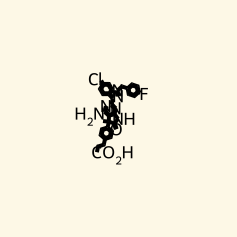 CC1(c2ccc(CCC(=O)O)cc2)C(=O)Nc2nc(-c3nn(Cc4ccc(F)cc4)c4cc(Cl)ccc34)nc(N)c21